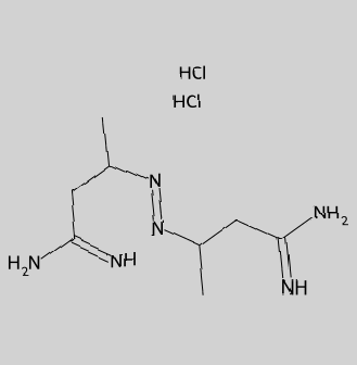 CC(CC(=N)N)N=NC(C)CC(=N)N.Cl.Cl